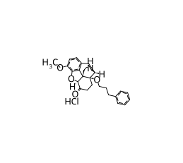 COc1ccc2c3c1O[C@@H]1C(=O)CC[C@@]4(OCCCc5ccccc5)[C@@H](C2)NCC[C@]314.Cl